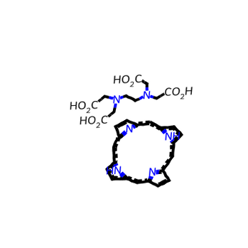 C1=Cc2cc3ccc(cc4nc(cc5ccc(cc1n2)[nH]5)C=C4)[nH]3.O=C(O)CN(CCN(CC(=O)O)CC(=O)O)CC(=O)O